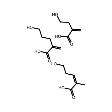 C=C(CCCO)C(=O)O.C=C(CCO)C(=O)O.CC(=CCCO)C(=O)O